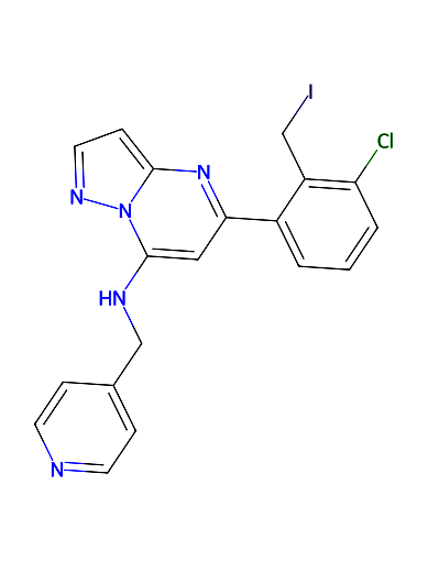 Clc1cccc(-c2cc(NCc3ccncc3)n3nccc3n2)c1CI